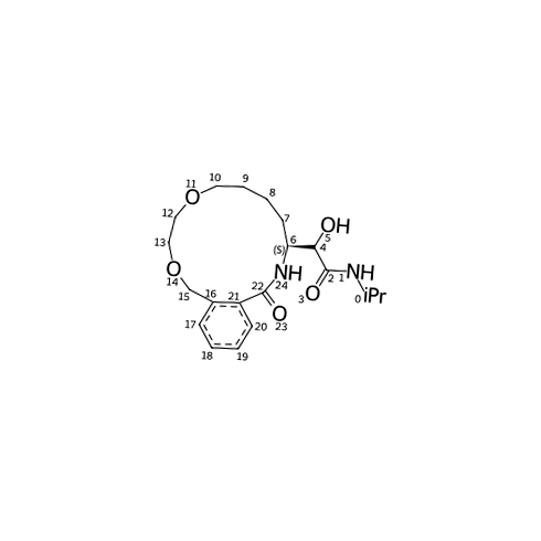 CC(C)NC(=O)C(O)[C@@H]1CCCCOCCOCc2ccccc2C(=O)N1